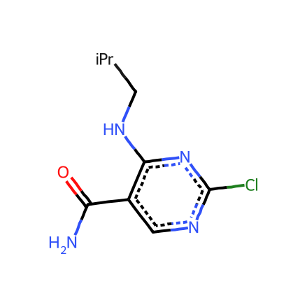 CC(C)CNc1nc(Cl)ncc1C(N)=O